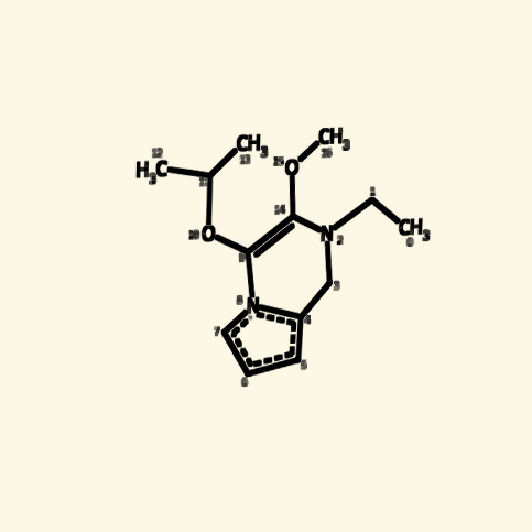 CCN1Cc2cccn2C(OC(C)C)=C1OC